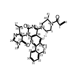 C=CC(=O)N1C[C@H](C)N(c2nc(=O)n(-c3c(C(C)C)ncn(C)c3=O)c3nc(-c4ccccc4F)c(Cl)cc23)C[C@H]1C